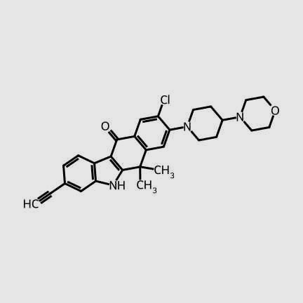 C#Cc1ccc2c3c([nH]c2c1)C(C)(C)c1cc(N2CCC(N4CCOCC4)CC2)c(Cl)cc1C3=O